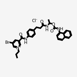 CCC[n+]1cc(Br)cc(C(=O)Nc2ccc(CCC(=O)NC(C)OC(=O)Nc3cccc4ccccc34)cc2)c1.[Cl-]